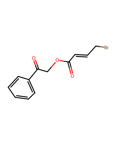 O=C(C=CCBr)OCC(=O)c1ccccc1